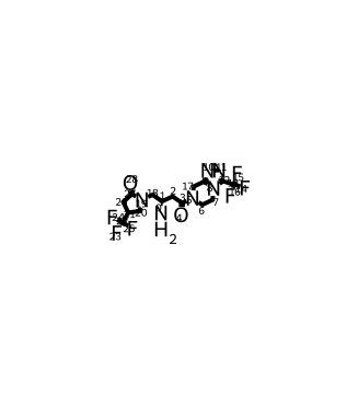 N[C@@H](CC(=O)N1CCn2c(nnc2C(F)(F)F)C1)CN1CC(C(F)(F)F)CC1=O